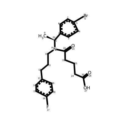 C[C@@H](c1ccc(Br)cc1)N(CCCc1ccc(F)cc1)C(=O)CCCC(=O)O